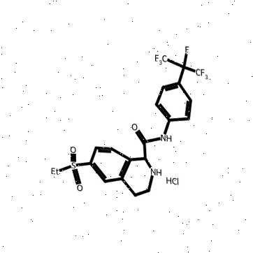 CCS(=O)(=O)c1ccc2c(c1)CCNC2C(=O)Nc1ccc(C(F)(C(F)(F)F)C(F)(F)F)cc1.Cl